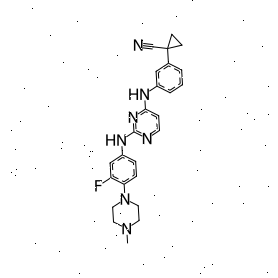 CN1CCN(c2ccc(Nc3nccc(Nc4cccc(C5(C#N)CC5)c4)n3)cc2F)CC1